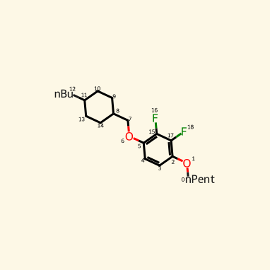 CCCCCOc1ccc(OCC2CCC(CCCC)CC2)c(F)c1F